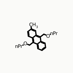 CCCOCc1c2ccccc2c(COCCC)c2cc(C)ccc12